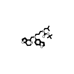 CC(C)CN(CCCN(CC1=NCCc2occc21)c1ccc2occc2c1)C(=O)OC(C)(C)C